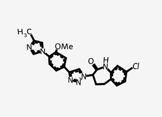 COc1cc(-c2cn(C3CCc4ccc(Cl)cc4NC3=O)nn2)ccc1-n1cnc(C)c1